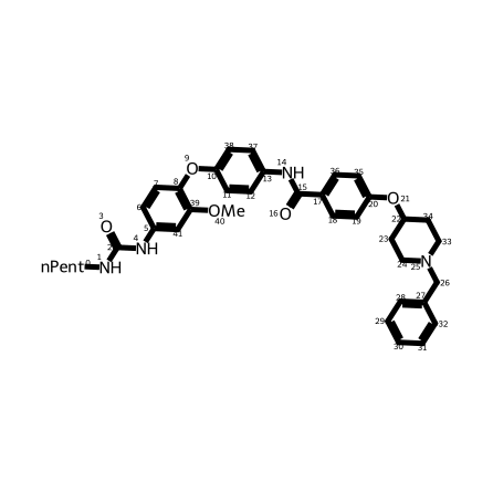 CCCCCNC(=O)Nc1ccc(Oc2ccc(NC(=O)c3ccc(OC4CCN(Cc5ccccc5)CC4)cc3)cc2)c(OC)c1